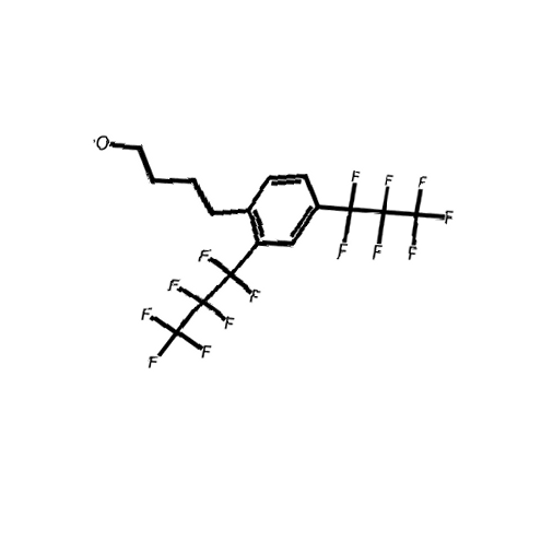 [O]CCCCc1ccc(C(F)(F)C(F)(F)C(F)(F)F)cc1C(F)(F)C(F)(F)C(F)(F)F